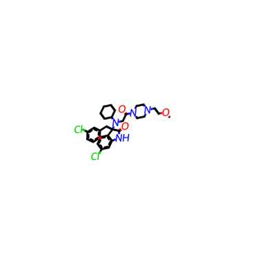 COCCN1CCN(C(=O)CN(C2CCCCC2)C2(Cc3cccc(Cl)c3)C(=O)Nc3cc(Cl)ccc32)CC1